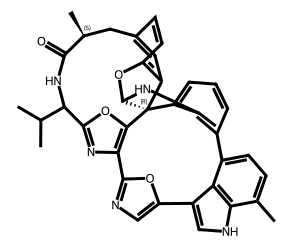 Cc1ccc2c3c(c[nH]c13)-c1cnc(o1)-c1nc3oc1[C@]14c5cc(ccc5OC1Nc1c-2cccc14)C[C@H](C)C(=O)NC3C(C)C